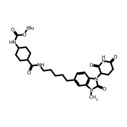 Cn1c(=O)n(C2CCC(=O)NC2=O)c2ccc(CCCCCNC(=O)C3CCC(NC(=O)OC(C)(C)C)CC3)cc21